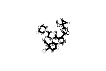 COC1(c2noc(-c3ncn4c3c(=O)n(CCN3CCOCC3)c3c(C#N)c(Cl)ccc34)n2)CC1